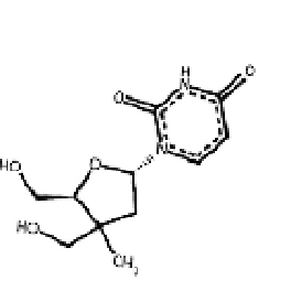 CC1(CO)C[C@@H](n2ccc(=O)[nH]c2=O)O[C@@H]1CO